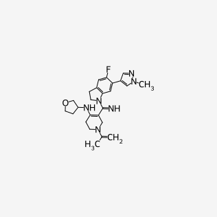 C=C(C)N1CCC(NC2CCOC2)=C(C(=N)N2CCc3cc(F)c(-c4cnn(C)c4)cc32)C1